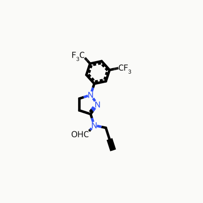 C#CCN(C=O)C1=NN(c2cc(C(F)(F)F)cc(C(F)(F)F)c2)CC1